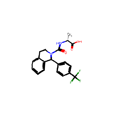 C[C@@H](NC(=O)N1CCc2ccccc2C1c1ccc(C(F)(F)F)cc1)C(=O)O